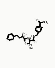 Cl.Cl.N=C(N)c1ccc(CNC(=O)C(CF)NC(=O)[C@H](N)CCc2ccccc2)cc1